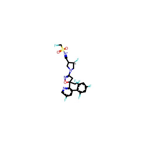 O=S(=O)(CF)[N+]#CC1CN(C2=NOC(CF)(c3ncc(F)cc3-c3c(F)cc(F)cc3F)C2)C[C@@H]1F